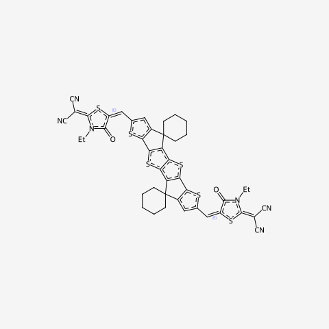 CCn1c(=C(C#N)C#N)s/c(=C/c2cc3c(s2)-c2sc4c5c(sc4c2C32CCCCC2)-c2sc(/C=c3/sc(=C(C#N)C#N)n(CC)c3=O)cc2C52CCCCC2)c1=O